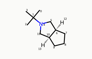 CC(C)(C)N1C[C@H]2CCC[C@H]2C1